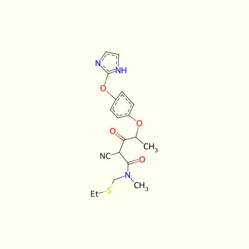 CCSCN(C)C(=O)C(C#N)C(=O)C(C)Oc1ccc(Oc2ncc[nH]2)cc1